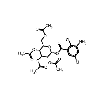 CC(=O)OC[C@H]1O[C@@H](OC(=O)c2cc(Cl)cc(N)c2Cl)[C@H](OC(C)=O)[C@@H](OC(C)=O)[C@@H]1OC(C)=O